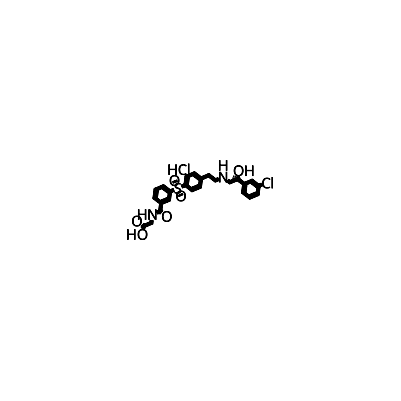 Cl.O=C(O)CNC(=O)c1cccc(S(=O)(=O)c2ccc(CCNC[C@H](O)c3cccc(Cl)c3)cc2)c1